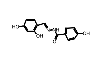 O=C(NN=Cc1ccc(O)cc1O)c1ccc(O)cc1